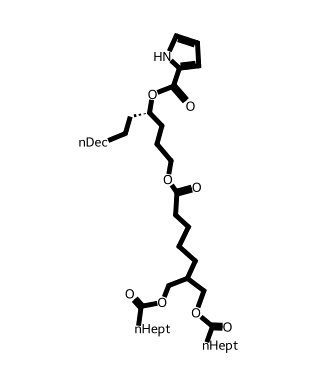 CCCCCCCCCCCC[C@@H](CCCOC(=O)CCCCC(COC(=O)CCCCCCC)COC(=O)CCCCCCC)OC(=O)c1ccc[nH]1